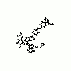 COC(=O)C1(C)CCN(CCN2CCN(C(=O)Cn3cc(Nc4cnn5cccnc45)c(-c4cc(Cl)ccc4OC(F)F)n3)CC2)CC1.O=CO